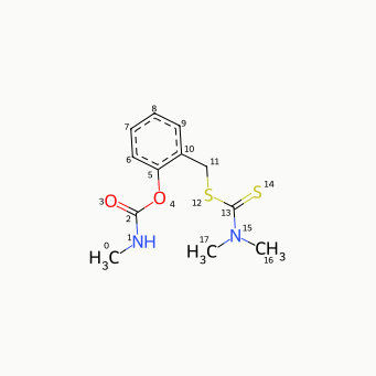 CNC(=O)Oc1ccccc1CSC(=S)N(C)C